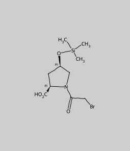 C[Si](C)(C)O[C@@H]1C[C@H](C(=O)O)N(C(=O)CBr)C1